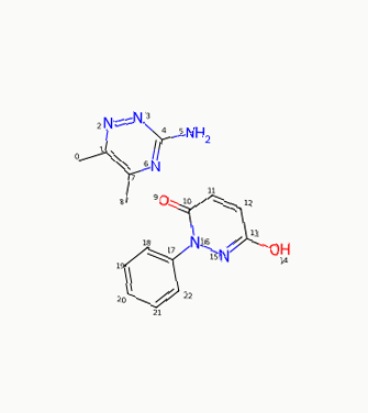 Cc1nnc(N)nc1C.O=c1ccc(O)nn1-c1ccccc1